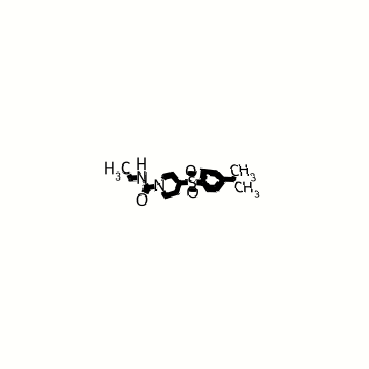 CCNC(=O)N1CCC(S(=O)(=O)c2ccc(C(C)C)cc2)CC1